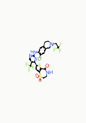 O=C1NCCS(=O)(=O)c2cc(-c3nc(Nc4cc5c(cc4Cl)CN(CC(F)(F)F)CC5)ncc3C(F)(F)F)sc21